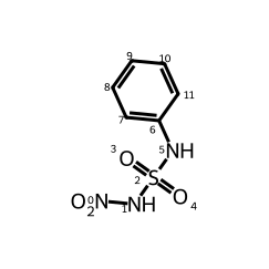 O=[N+]([O-])NS(=O)(=O)Nc1ccccc1